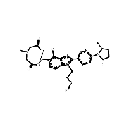 CCOCCn1c(-c2ccc(N3[C@@H](C)CC[C@@H]3C)nc2)nc2c(Cl)c(B3OC(=O)CN(C)CC(=O)O3)ccc21